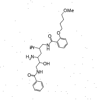 COCCCCOc1ccccc1C(=O)NCC(CC(N)C(O)CNC(=O)c1ccccc1)C(C)C